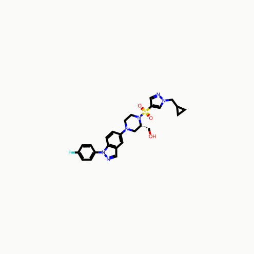 O=S(=O)(c1cnn(CC2CC2)c1)N1CCN(c2ccc3c(cnn3-c3ccc(F)cc3)c2)C[C@H]1CO